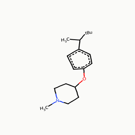 CC(c1ccc(OC2CCN(C)CC2)cc1)C(C)(C)C